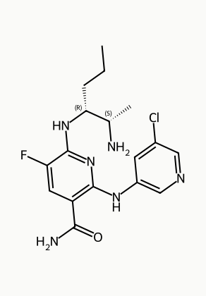 CCC[C@@H](Nc1nc(Nc2cncc(Cl)c2)c(C(N)=O)cc1F)[C@H](C)N